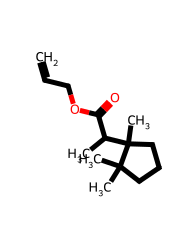 C=CCOC(=O)C(C)C1(C)CCCC1(C)C